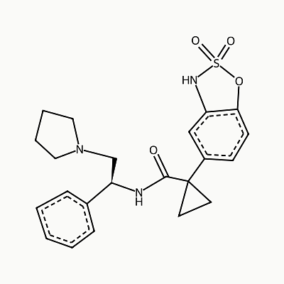 O=C(N[C@H](CN1CCCC1)c1ccccc1)C1(c2ccc3c(c2)NS(=O)(=O)O3)CC1